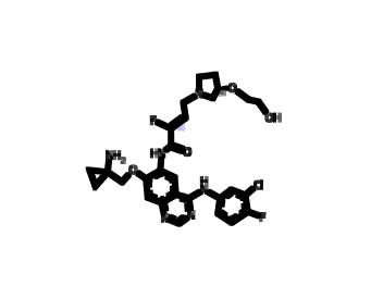 NC1(COc2cc3ncnc(Nc4ccc(F)c(Cl)c4)c3cc2NC(=O)/C(F)=C/CN2CC[C@@H](OCCO)C2)CC1